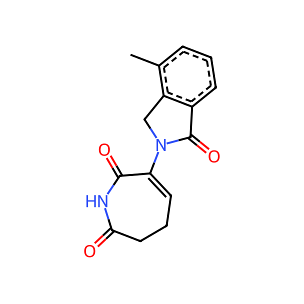 Cc1cccc2c1CN(C1=CCCC(=O)NC1=O)C2=O